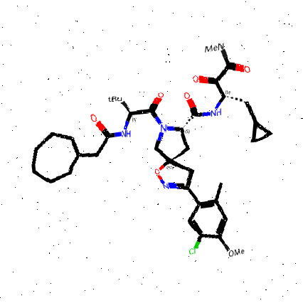 CNC(=O)C(=O)[C@H](CC1CC1)NC(=O)[C@@H]1C[C@]2(CC(c3cc(Cl)c(OC)cc3C)=NO2)CN1C(=O)[C@@H](NC(=O)CC1CCCCCC1)C(C)(C)C